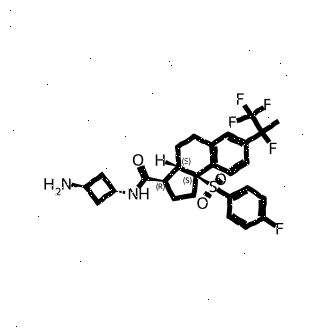 CC(F)(c1ccc2c(c1)CC[C@H]1[C@H](C(=O)N[C@H]3C[C@H](N)C3)CC[C@@]21S(=O)(=O)c1ccc(F)cc1)C(F)(F)F